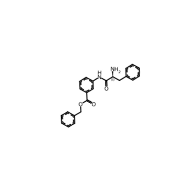 N[C@@H](Cc1ccccc1)C(=O)Nc1cccc(C(=O)OCc2ccccc2)c1